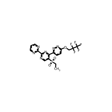 CCS(=O)(=O)c1cnc(-c2ncccn2)nc1-c1ccc(OCC(F)(F)C(F)(F)F)nn1